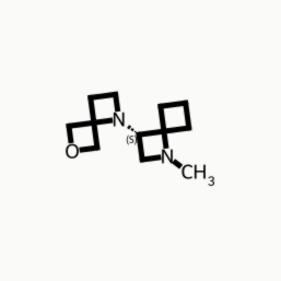 CN1C[C@H](N2CCC23COC3)C12CCC2